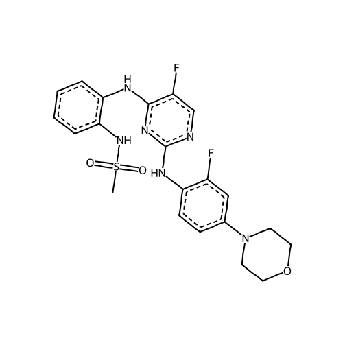 CS(=O)(=O)Nc1ccccc1Nc1nc(Nc2ccc(N3CCOCC3)cc2F)ncc1F